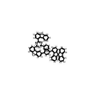 c1ccc(-c2nc(-c3cccc4oc5ccc(-c6ccc(-c7cccc8c7-c7ccccc7C87c8ccccc8-c8ccccc87)cc6)cc5c34)nc(-c3cccc4sc5ccccc5c34)n2)cc1